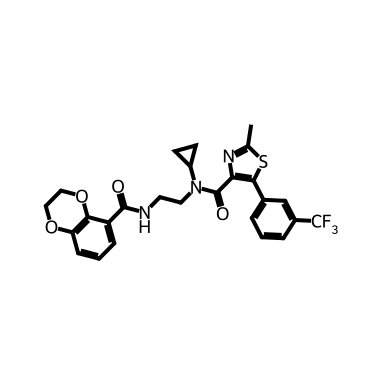 Cc1nc(C(=O)N(CCNC(=O)c2cccc3c2OCCO3)C2CC2)c(-c2cccc(C(F)(F)F)c2)s1